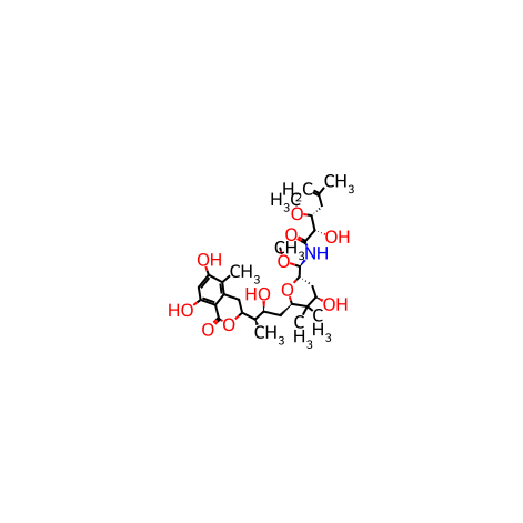 C=C(C)C[C@@H](OC)[C@H](O)C(=O)N[C@H](OC)[C@@H]1C[C@@H](O)C(C)(C)[C@@H](C[C@H](O)[C@@H](C)C2Cc3c(C)c(O)cc(O)c3C(=O)O2)O1